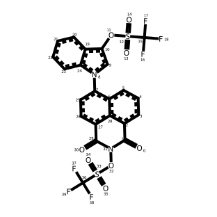 O=C1c2cccc3c(-n4cc(OS(=O)(=O)C(F)(F)F)c5ccccc54)ccc(c23)C(=O)N1OS(=O)(=O)C(F)(F)F